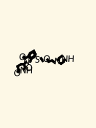 O=C1CCC(N2Cc3c(SCCOCCCN4CCNCC4)cccc3C2=O)C(=O)N1